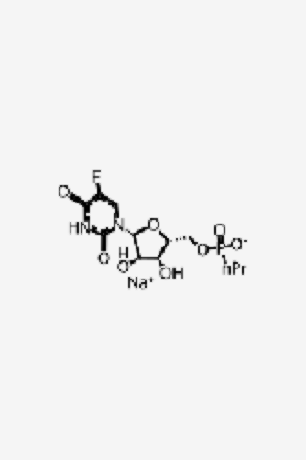 CCCP(=O)([O-])OC[C@H]1O[C@@H](n2cc(F)c(=O)[nH]c2=O)[C@H](O)[C@@H]1O.[Na+]